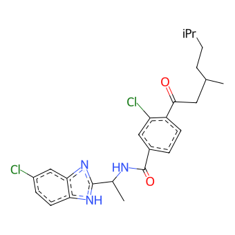 CC(C)CCC(C)CC(=O)c1ccc(C(=O)NC(C)c2nc3cc(Cl)ccc3[nH]2)cc1Cl